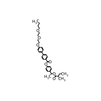 CCCCOCCOCCOc1ccc(-c2ccc(C(=O)Oc3ccc(C(C)OC(=O)C(C)CC)cc3)cc2)cc1